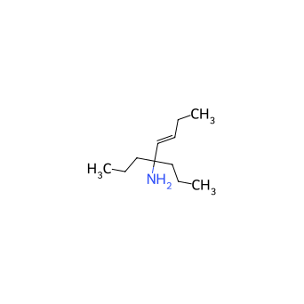 CC/C=C/C(N)(CCC)CCC